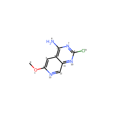 COc1cc2c(N)nc(Cl)nc2cn1